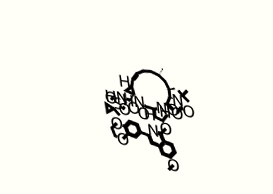 COc1ccc2c(O[C@@H]3C[C@H]4C(=O)N[C@]5(C(=O)NS(=O)(=O)C6(C)CC6)C[C@H]5/C=C\CC[C@H](C)C[C@@H](C)[C@H](N(C(=O)O)C(C)(C)C)C(=O)N4C3)nc(-c3ccc4c(c3)OCCO4)cc2c1